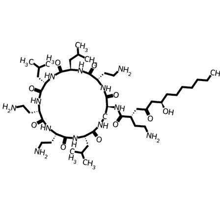 CCCCCCC[C@@H](O)CC(=O)C[C@H](CCN)C(=O)N[C@H]1CNC(=O)[C@H](CC(C)C)NC(=O)[C@H](CCN)NC(=O)[C@H](CCN)NC(=O)[C@H](CC(C)C)NC(=O)[C@@H](CC(C)C)NC(=O)[C@H](CCN)NC1=O